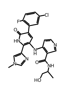 CC(CO)NC(=O)c1cnccc1Nc1cc(-c2cc(Cl)ccc2F)c(=O)[nH]c1-c1cn(C)cn1